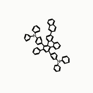 c1ccc(-c2cc(-c3ccc(N(c4ccccc4)c4ccccc4)cc3)c3c4ccccc4c4cc(-c5ccc6ccccc6c5)ccc4c3c2-c2ccc(N(c3ccccc3)c3ccccc3)cc2)cc1